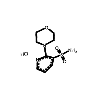 Cl.NS(=O)(=O)c1cccnc1N1CCOCC1